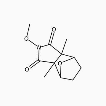 CON1C(=O)C2(C)C3CCC(O3)C2(C)C1=O